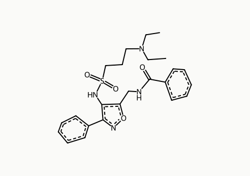 CCN(CC)CCCS(=O)(=O)Nc1c(-c2ccccc2)noc1CNC(=O)c1ccccc1